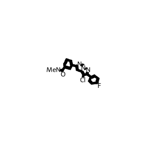 CNC(=O)c1cccc(-c2cc3c(Cl)c(-c4ccc(F)cc4)nn3cn2)c1